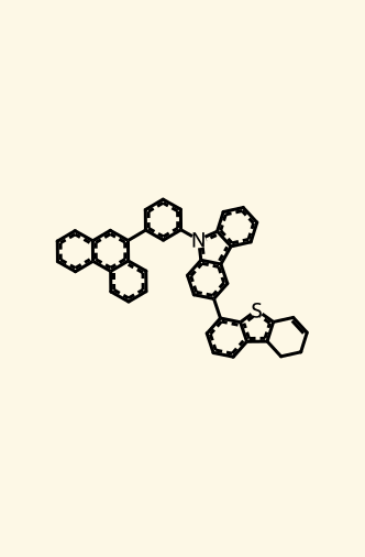 C1=Cc2sc3c(-c4ccc5c(c4)c4ccccc4n5-c4cccc(-c5cc6ccccc6c6ccccc56)c4)cccc3c2CC1